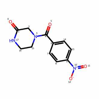 O=C1CN(C(=O)c2ccc([N+](=O)[O-])cc2)CCN1